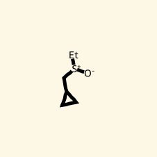 CC[S+]([O-])C[C]1CC1